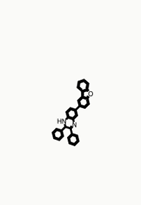 c1ccc(C2=Nc3cc(-c4ccc5oc6ccccc6c5c4)ccc3NC2c2ccccc2)cc1